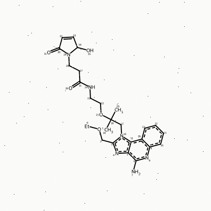 CCOCc1nc2c(N)nc3ccccc3c2n1CC(C)(C)OCCNC(=O)CCN1C(=O)C=CC1O